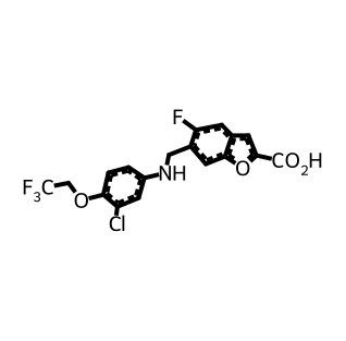 O=C(O)c1cc2cc(F)c(CNc3ccc(OCC(F)(F)F)c(Cl)c3)cc2o1